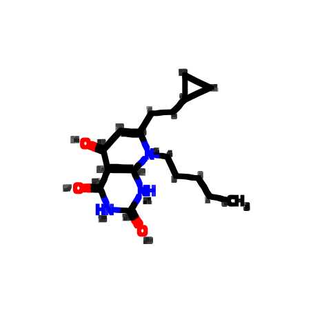 CCCCCn1c(CCC2CC2)cc(=O)c2c(=O)[nH]c(=O)[nH]c21